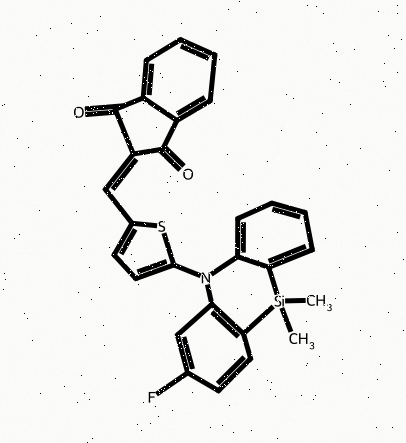 C[Si]1(C)c2ccccc2N(c2ccc(C=C3C(=O)c4ccccc4C3=O)s2)c2cc(F)ccc21